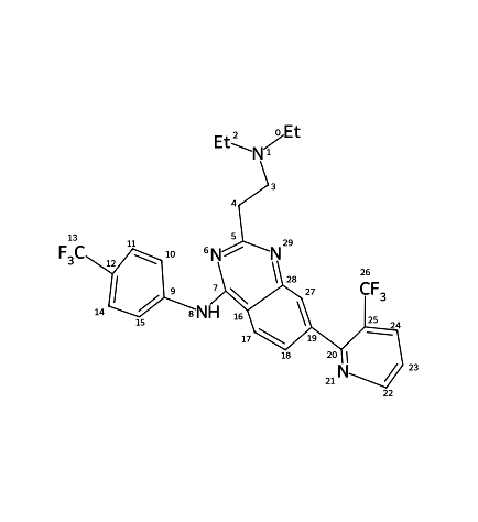 CCN(CC)CCc1nc(Nc2ccc(C(F)(F)F)cc2)c2ccc(-c3ncccc3C(F)(F)F)cc2n1